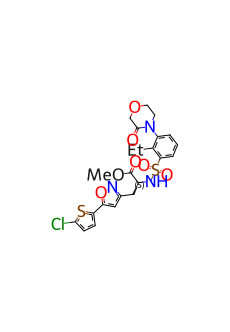 CCc1c(N2CCOCC2=O)cccc1S(=O)(=O)N[C@@H](Cc1cc(-c2ccc(Cl)s2)on1)C(=O)OC